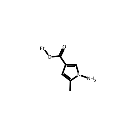 CCOC(=O)c1cc(C)n(N)c1